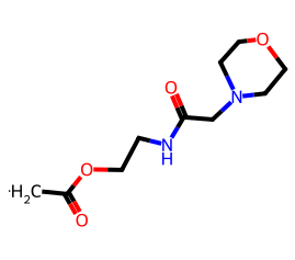 [CH2]C(=O)OCCNC(=O)CN1CCOCC1